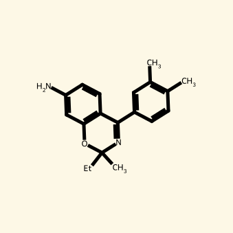 CCC1(C)N=C(c2ccc(C)c(C)c2)c2ccc(N)cc2O1